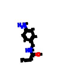 CCCC(C)C(=O)NCc1ccc(N)cc1